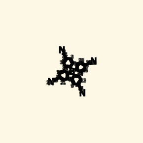 N#Cc1ccc([B-](c2ccc(C#N)cc2)(c2ccc(C#N)cc2)c2ccc(C#N)cc2)cc1